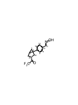 O=C(N1CC2CC2(c2ccc(/C=N/O)cc2)C1)C(F)(F)F